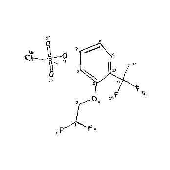 FC(F)COc1ccccc1C(F)(F)F.O=S(=O)(Cl)Cl